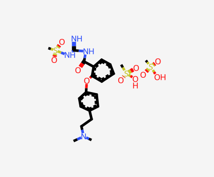 CN(C)CCc1ccc(Oc2ccccc2C(=O)NC(=N)NS(C)(=O)=O)cc1.CS(=O)(=O)O.CS(=O)(=O)O